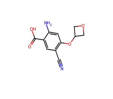 N#Cc1cc(C(=O)O)c(N)cc1OC1COC1